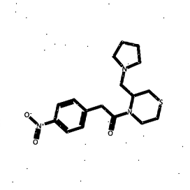 O=C(Cc1ccc([N+](=O)[O-])cc1)N1CCSCC1CN1CCCC1